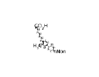 CCCCCCCCC[C@H]1CC[C@H](c2ccc(CCCCCCCC(=O)O)c(C)c2)CC1